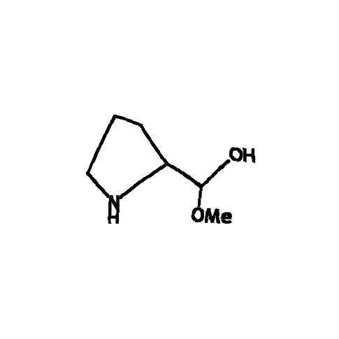 COC(O)C1CCCN1